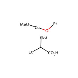 CCCCC(CC)C(=O)O.CC[O][Cu][O]C